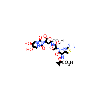 Nc1nc(/C(=N/OC2(C(=O)O)CC2)C(=O)N[C@H]2CON(C3(C(=O)O)CC(n4c(=O)n5cc(O)c(O)cn5c4=O)C(=O)O3)C2=O)cs1